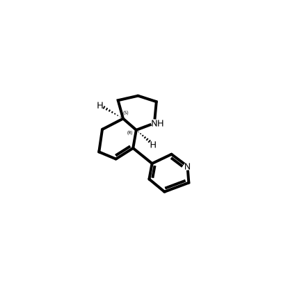 C1=C(c2cccnc2)[C@@H]2NCCC[C@@H]2CC1